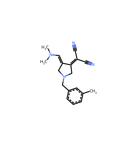 Cc1cccc(CN2CC(=CN(C)C)C(=C(C#N)C#N)C2)c1